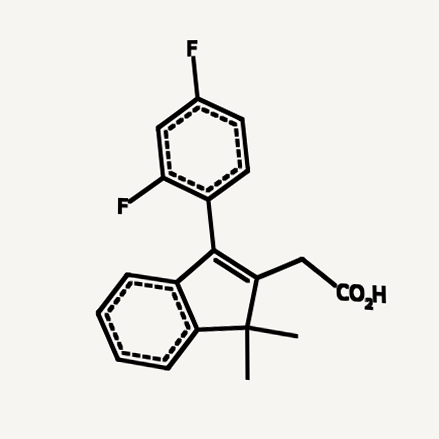 CC1(C)C(CC(=O)O)=C(c2ccc(F)cc2F)c2ccccc21